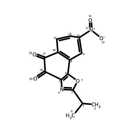 CC(C)c1nc2c(o1)-c1cc([N+](=O)[O-])ccc1C(=O)C2=O